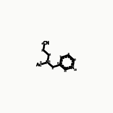 CC(=O)N(CCC#N)Cc1cccnc1